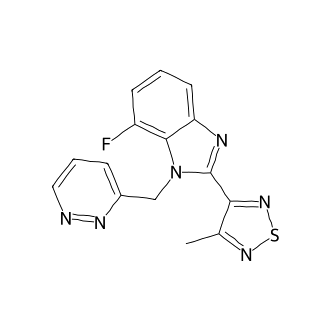 Cc1nsnc1-c1nc2cccc(F)c2n1Cc1cccnn1